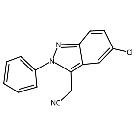 N#CCc1c2cc(Cl)ccc2nn1-c1ccccc1